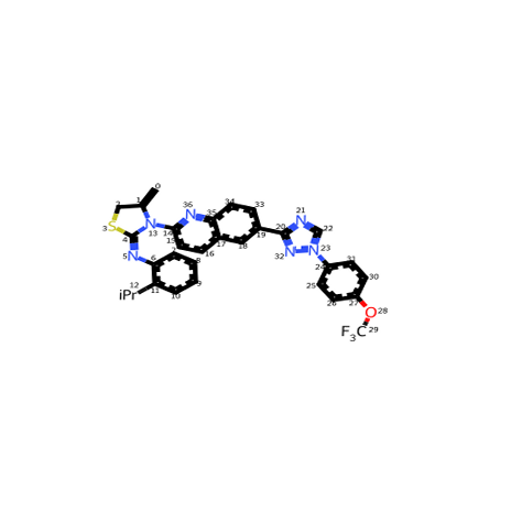 C=C1CS/C(=N/c2ccccc2C(C)C)N1c1ccc2cc(-c3ncn(-c4ccc(OC(F)(F)F)cc4)n3)ccc2n1